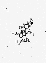 Cc1cc(C(C)C)c2c(=O)n(C)c(-c3ccc(OC(F)F)cc3Cl)nn12